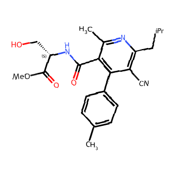 COC(=O)[C@H](CO)NC(=O)c1c(C)nc(CC(C)C)c(C#N)c1-c1ccc(C)cc1